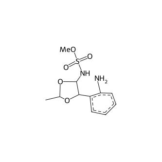 COS(=O)(=O)NC1OC(C)OC1c1ccccc1N